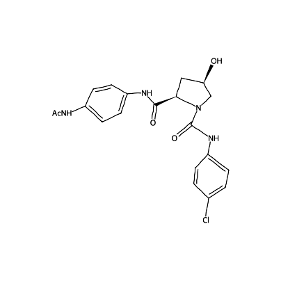 CC(=O)Nc1ccc(NC(=O)[C@H]2C[C@@H](O)CN2C(=O)Nc2ccc(Cl)cc2)cc1